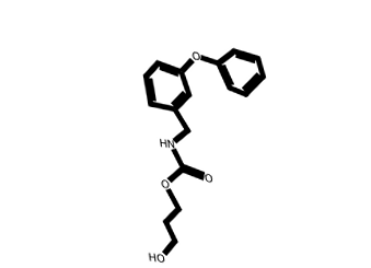 O=C(NCc1cccc(Oc2ccccc2)c1)OCCCO